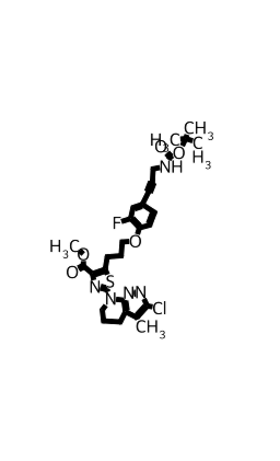 COC(=O)c1nc(N2CCCc3c2nnc(Cl)c3C)sc1CCCOc1ccc(C#CCNC(=O)OC(C)(C)C)cc1F